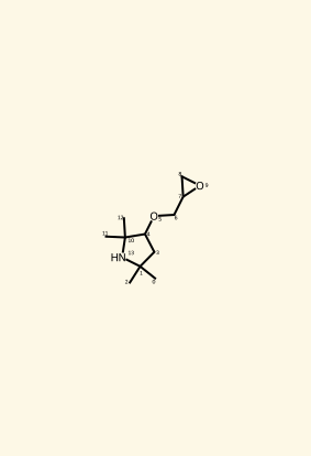 CC1(C)CC(OCC2CO2)C(C)(C)N1